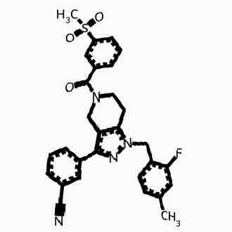 Cc1ccc(Cn2nc(-c3cccc(C#N)c3)c3c2CCN(C(=O)c2cccc(S(C)(=O)=O)c2)C3)c(F)c1